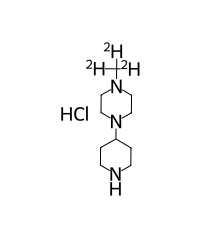 Cl.[2H]C([2H])([2H])N1CCN(C2CCNCC2)CC1